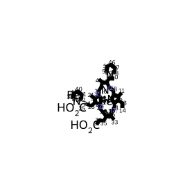 C=CC1=C(C)C2=NC/1=C\c1c(C)c(C=C)c3[n]1[Fe][n]1/c(c(C)c(CCC(=O)O)/c1=C/C1=NC(=C\3)/C(C)=C1CCC(=O)O)=C\2.[Fe].c1ccncc1.c1ccncc1